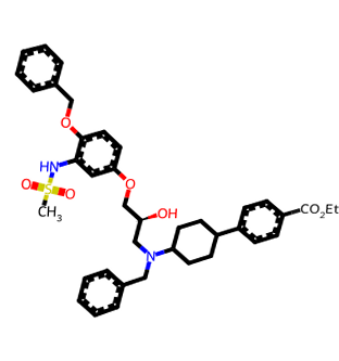 CCOC(=O)c1ccc(C2CCC(N(Cc3ccccc3)C[C@H](O)COc3ccc(OCc4ccccc4)c(NS(C)(=O)=O)c3)CC2)cc1